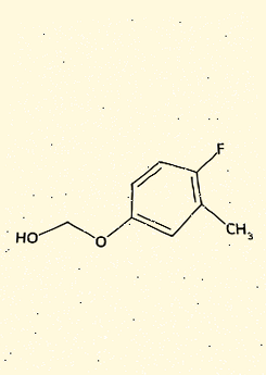 Cc1cc(OCO)ccc1F